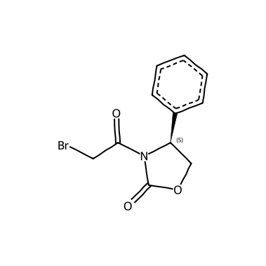 O=C(CBr)N1C(=O)OC[C@@H]1c1ccccc1